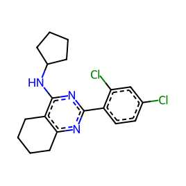 Clc1ccc(-c2nc3c(c(NC4CCCC4)n2)CCCC3)c(Cl)c1